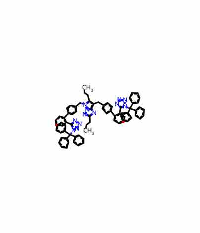 CCCc1nc2c(Cc3ccc(-c4ccccc4-c4nnnn4C(c4ccccc4)(c4ccccc4)c4ccccc4)cc3)c(CCC)n(Cc3ccc(-c4ccccc4-c4nnnn4C(c4ccccc4)(c4ccccc4)c4ccccc4)cc3)n2n1